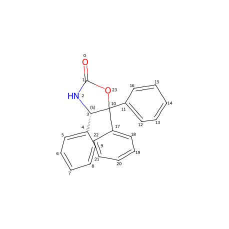 O=C1N[C@@H](c2ccccc2)C(c2ccccc2)(c2ccccc2)O1